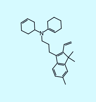 C=CC1=C(CCCN(C2=CCCCC2)C2CC=CCC2)c2ccc(C)cc2C1(C)C